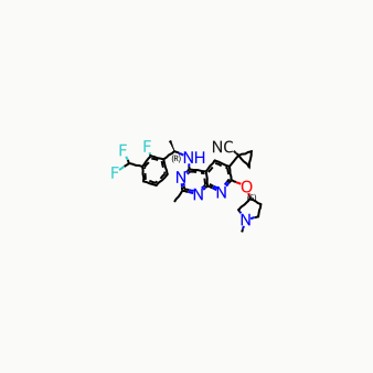 Cc1nc(N[C@H](C)c2cccc(C(F)F)c2F)c2cc(C3(C#N)CC3)c(O[C@H]3CCN(C)C3)nc2n1